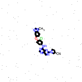 Cn1cnc2cc(Oc3ccc(Nc4ncnc5cnc(N6CC[C@@H](C#N)C6)nc45)cc3Cl)ccc21